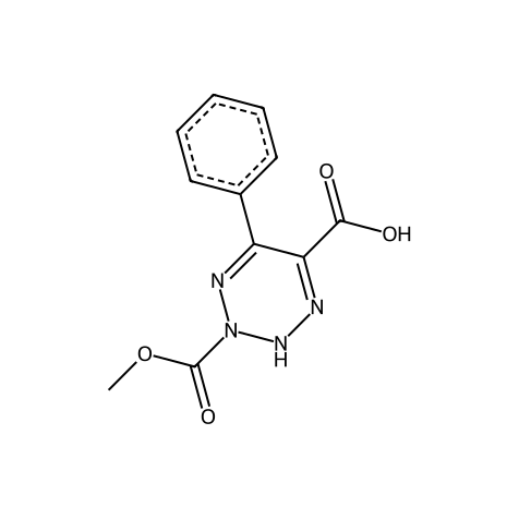 COC(=O)N1N=C(c2ccccc2)C(C(=O)O)=NN1